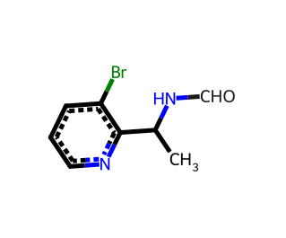 CC(NC=O)c1ncccc1Br